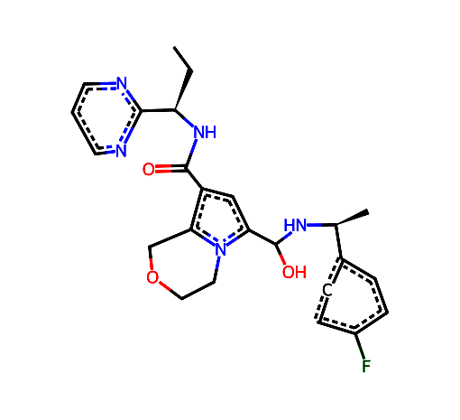 CC[C@@H](NC(=O)c1cc(C(O)N[C@@H](C)c2ccc(F)cc2)n2c1COCC2)c1ncccn1